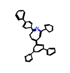 C1=CCC(C2=CC(c3cc(C4=CCCC=C4)cc(-c4ccccc4)c3)=CCC(C3C=CC(c4ccccc4)=CC3)=N2)C=C1